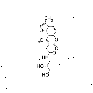 CC1=COC2c3c(oc(=O)c(CC(=O)NCC(O)CO)c3C)C=CC12